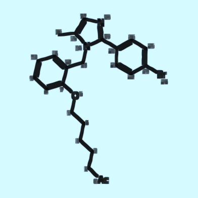 CC(=O)CCCCCOc1ccccc1Cn1c(C)cnc1-c1ccc(Br)cc1